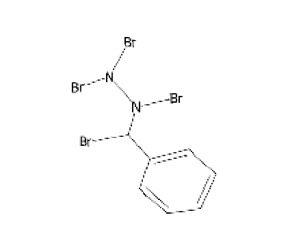 BrC(c1ccccc1)N(Br)N(Br)Br